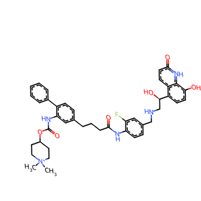 C[N+]1(C)CCC(OC(=O)Nc2cc(CCCC(=O)Nc3ccc(CNC[C@@H](O)c4ccc(O)c5[nH]c(=O)ccc45)cc3F)ccc2-c2ccccc2)CC1